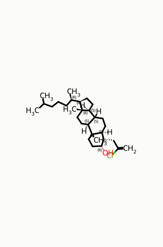 C=C(Cl)C[C@@H]1[C@H](O)CC[C@@]2(C)[C@H]1CC[C@@H]1[C@@H]2CC[C@]2(C)[C@@H]([C@H](C)CCCC(C)C)CC[C@@H]12